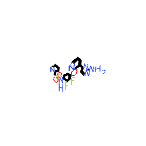 Nc1nccc(-c2cccnc2Oc2ccc(NS(=O)(=O)Cc3ccccn3)c(F)c2F)n1